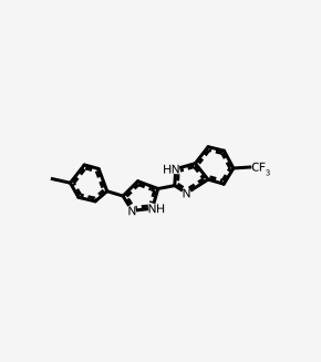 Cc1ccc(-c2cc(-c3nc4cc(C(F)(F)F)ccc4[nH]3)[nH]n2)cc1